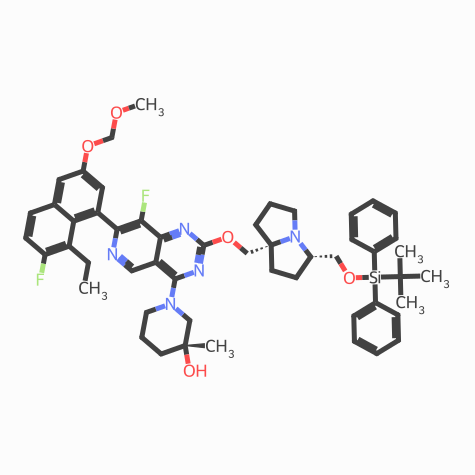 CCc1c(F)ccc2cc(OCOC)cc(-c3ncc4c(N5CCC[C@@](C)(O)C5)nc(OC[C@]56CCCN5[C@H](CO[Si](c5ccccc5)(c5ccccc5)C(C)(C)C)CC6)nc4c3F)c12